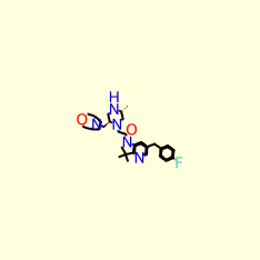 C[C@@H]1CN(CC(=O)N2CC(C)(C)c3ncc(Cc4ccc(F)cc4)cc32)[C@@H](CN2C3CCC2COC3)CN1